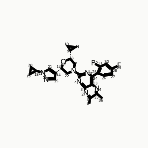 Cc1nc2nc(N3C[C@@H](C4CC4)O[C@@H](c4cnn(C5CC5)c4)C3)nc(-c3ccc(F)cc3F)c2nc1C